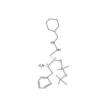 CC(C)(C)O[Si](C)(C)O[C@@H](CNNCC1CCCCC1)[C@@H](N)Cc1ccccc1